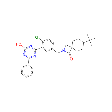 CC(C)(C)C1CCC2(CC1)CN(Cc1ccc(Cl)c(-c3nc(O)nc(-c4ccccc4)n3)c1)C2=O